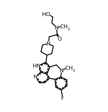 CN(CCO)C(=O)CN1CCC(c2[nH]c3nccc4c3c2CN(C)c2ccc(F)cc2-4)CC1